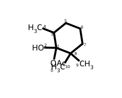 CC(=O)OC1(O)C(C)CCCC1(C)C